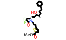 COC(=O)c1ccc(CCCN2C(=O)C(F)(F)C[C@@H]2C=C[C@@H](O)[C@H](C)CCCc2ccccc2)s1